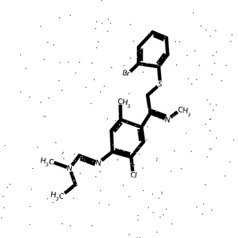 CCN(C)C=Nc1cc(C)c(/C(CSc2ccccc2Br)=N/C)cc1Cl